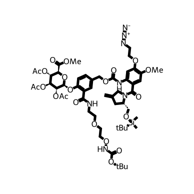 C=C1C[C@@H](CO[Si](C)(C)C(C)(C)C)N(C(=O)c2cc(OC)c(OCCN=[N+]=[N-])cc2NC(=O)OCc2ccc(O[C@@H]3O[C@H](C(=O)OC)[C@@H](OC(C)=O)[C@H](OC(C)=O)[C@H]3OC(C)=O)c(C(=O)NCCOCCONC(=O)OC(C)(C)C)c2)C1